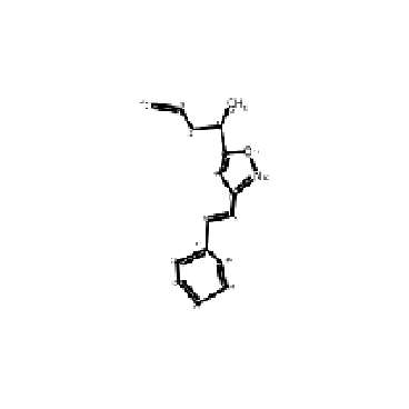 CC(CC=O)c1cc(C=Cc2ccccc2)no1